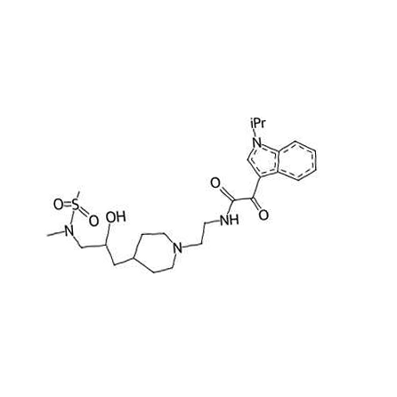 CC(C)n1cc(C(=O)C(=O)NCCN2CCC(CC(O)CN(C)S(C)(=O)=O)CC2)c2ccccc21